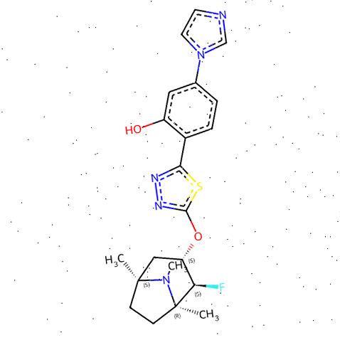 CN1[C@@]2(C)CC[C@]1(C)[C@H](F)[C@@H](Oc1nnc(-c3ccc(-n4ccnc4)cc3O)s1)C2